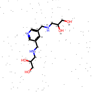 OCC(O)CNCc1cncc(CNCC(O)CO)c1